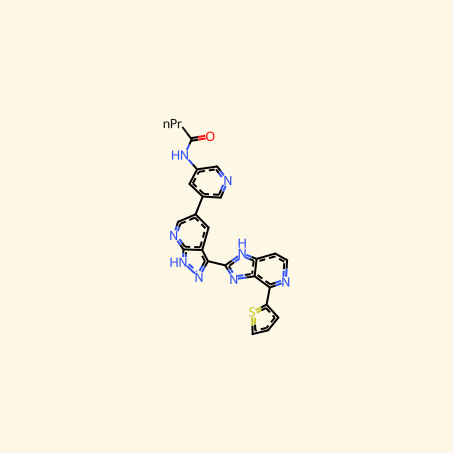 CCCC(=O)Nc1cncc(-c2cnc3[nH]nc(-c4nc5c(-c6cccs6)nccc5[nH]4)c3c2)c1